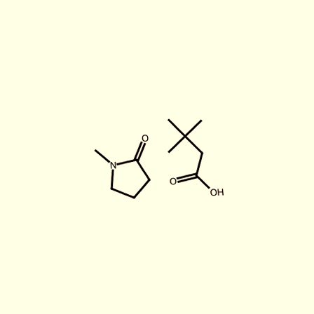 CC(C)(C)CC(=O)O.CN1CCCC1=O